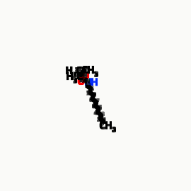 CC/C=C/C=C/C=C/CCCCCNC(=O)OC(C)(C)C